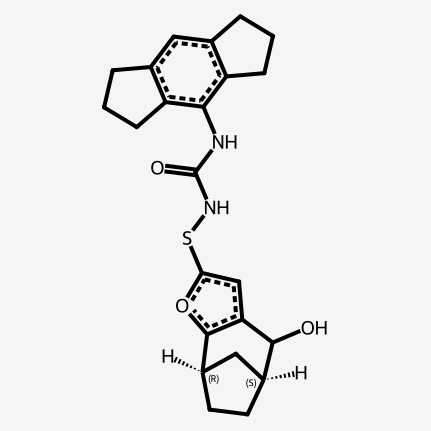 O=C(NSc1cc2c(o1)[C@@H]1CC[C@@H](C1)C2O)Nc1c2c(cc3c1CCC3)CCC2